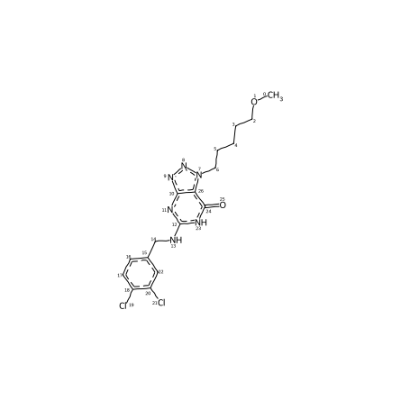 COCCCCCn1nnc2nc(NCc3ccc(Cl)c(Cl)c3)[nH]c(=O)c21